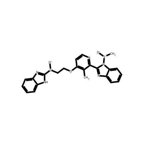 Cc1c(OCC[S+]([O-])c2nc3ccccc3[nH]2)ccnc1-c1nc2ccccc2n1[S+](C)[O-]